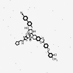 Cc1ccc(COc2ccc([C@H]3COc4cc5c(cc4O3)CN(S(=O)(=O)c3sc(NCC4CCCC4)nc3C)C(C(=O)N[C@@H](Cc3ccc(-c4ccc(C#N)cc4)cc3)C(=O)O)C5)cc2)cc1Cl